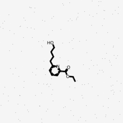 CCOC(=O)c1cccc(CCCCO)n1